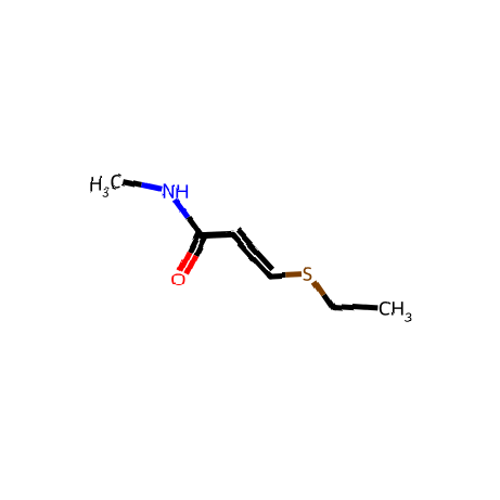 CCSC=CC(=O)NC